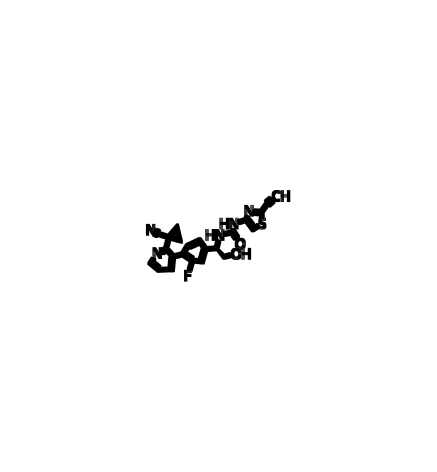 C#Cc1nc(NC(=O)N[C@@H](CO)c2ccc(-c3cccnc3C3(C#N)CC3)c(F)c2)cs1